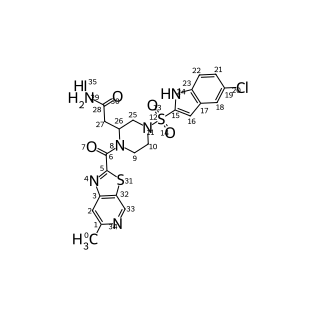 Cc1cc2nc(C(=O)N3CCN(S(=O)(=O)c4cc5cc(Cl)ccc5[nH]4)CC3CC(N)=O)sc2cn1.I